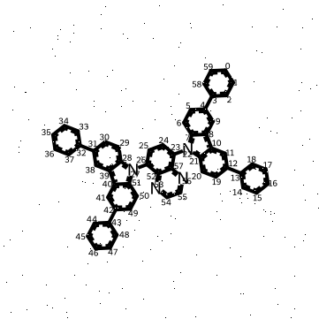 c1ccc(-c2ccc3c(c2)c2cc(-c4ccccc4)ccc2n3-c2ccc(-n3c4ccc(-c5ccccc5)cc4c4cc(-c5ccccc5)ccc43)c3nccnc23)cc1